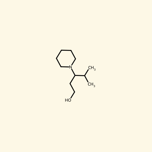 CC(C)C(CCO)N1CCCCC1